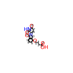 O=C(O)CCCOc1cccc2c1CN(C1CCC(=O)NC1=O)C2=O